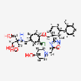 Cc1ccccc1C1=CC=CC(COc2ccc(CNC(CO)(CO)CO)cc2Cl)(c2noc(CN3CCC(O)CC3)n2)C1C